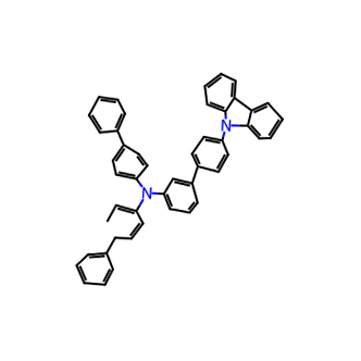 C/C=C(\C=C/Cc1ccccc1)N(c1ccc(-c2ccccc2)cc1)c1cccc(-c2ccc(-n3c4ccccc4c4ccccc43)cc2)c1